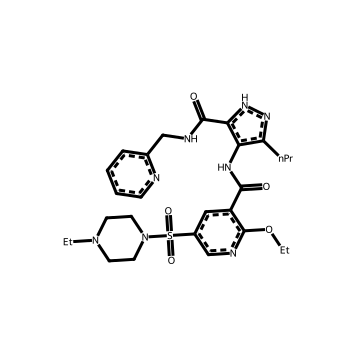 CCCc1n[nH]c(C(=O)NCc2ccccn2)c1NC(=O)c1cc(S(=O)(=O)N2CCN(CC)CC2)cnc1OCC